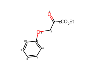 CCOC(=O)C(=O)COc1ccccc1